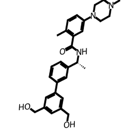 Cc1ccc(N2CCN(C)CC2)cc1C(=O)N[C@H](C)c1cccc(-c2cc(CO)cc(CO)c2)c1